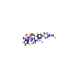 CN1CCN(c2ccc(C[C@H](NC(=O)[C@@H]3[C@H]4CC[C@H](C4)N3C(=O)OC(C)(C)C)C(N)=O)cc2)CC1